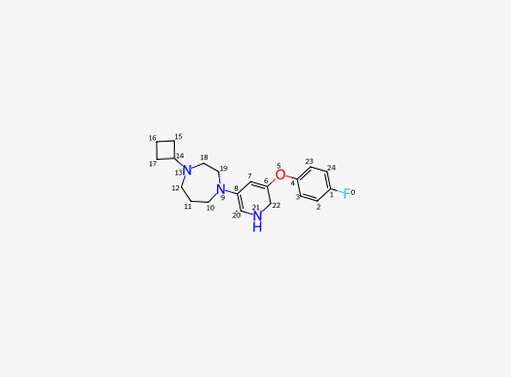 Fc1ccc(OC2=CC(N3CCCN(C4CCC4)CC3)=[C]NC2)cc1